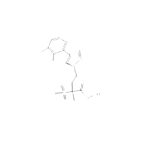 Cc1c(F)cccc1-c1cnn(CCC(C)(C(=O)NO)S(C)(=O)=O)c1